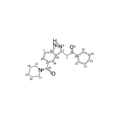 O=C(Cc1n[nH]c2ccc(C(=O)N3CCCCC3)cc12)c1ccccc1